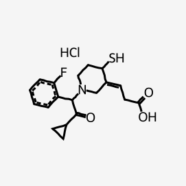 Cl.O=C(O)C/C=C1\CN(C(C(=O)C2CC2)c2ccccc2F)CCC1S